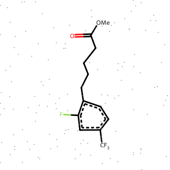 COC(=O)CCCCc1ccc(C(F)(F)F)cc1F